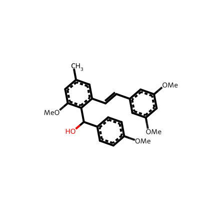 COc1ccc(C(O)c2c(/C=C/c3cc(OC)cc(OC)c3)cc(C)cc2OC)cc1